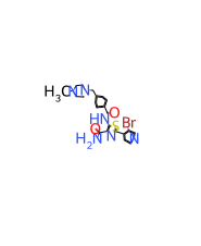 CN1CCN(Cc2ccc(C(=O)Nc3sc(-c4ccncc4Br)nc3C(N)=O)cc2)CC1